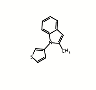 Cc1cc2ccccc2n1-c1ccsc1